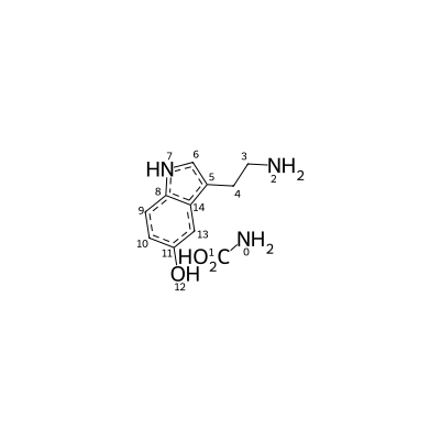 NC(=O)O.NCCc1c[nH]c2ccc(O)cc12